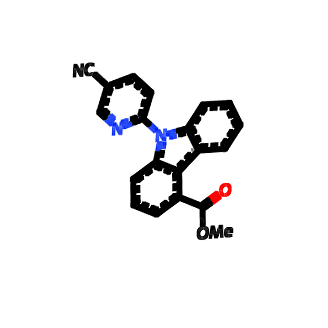 COC(=O)c1cccc2c1c1ccccc1n2-c1ccc(C#N)cn1